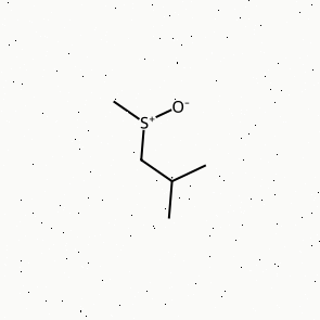 C[C](C)C[S+](C)[O-]